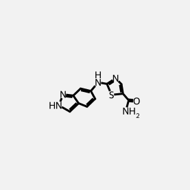 NC(=O)c1cnc(Nc2ccc3c[nH]nc3c2)s1